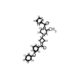 CC1CN(C2CN(C(=O)c3cccc(Oc4ccccc4)c3)C2)CCN1C(=O)c1nccs1